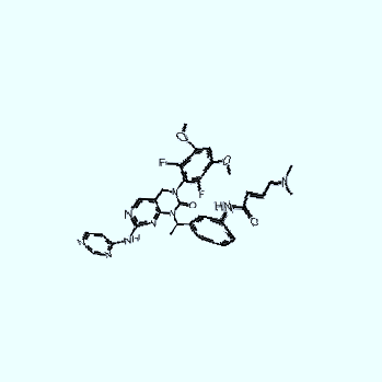 COc1cc(OC)c(F)c(N2Cc3cnc(Nc4ccncn4)nc3N(C(C)c3cccc(NC(=O)/C=C/CN(C)C)c3)C2=O)c1F